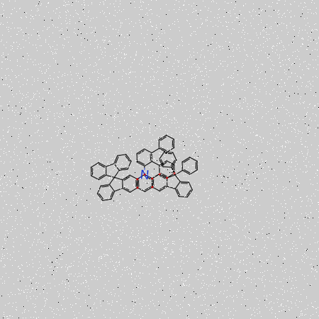 c1ccc(-c2ccccc2-c2c(-c3ccccc3)cccc2N(c2ccc3c(c2)C(c2ccccc2)(c2ccccc2)c2ccccc2-3)c2ccc3c(c2)C2(c4ccccc4-c4ccccc42)c2ccccc2-3)cc1